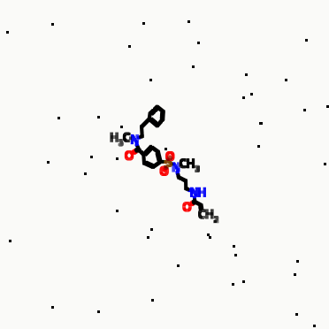 C=CC(=O)NCCCN(C)S(=O)(=O)c1ccc(C(=O)N(C)CCc2ccccc2)cc1